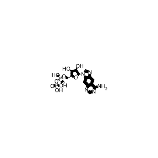 Nc1ncnc2cc3c(cc12)ncn3[C@@H]1O[C@H](COP(=O)(O)OP(=O)(O)O)[C@@H](O)[C@H]1O